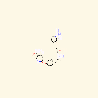 CC(C)(Cc1ccc(Oc2ccc(C(N)=O)cn2)cc1)NC[C@H](O)COc1cccc2[nH]nnc12